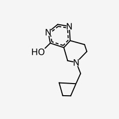 Oc1ncnc2c1CN(CC1CCC1)CC2